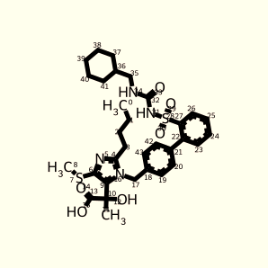 CCCCc1nc(SC)c(C(C)(O)C(=O)O)n1Cc1ccc(-c2ccccc2S(=O)(=O)NC(=O)NCC2CCCCC2)cc1